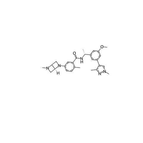 COc1cc(-c2cn(C)nc2C)cc([C@@H](C)NC(=O)c2cc(N3CC4[C@@H]3CN4C)ccc2C)c1